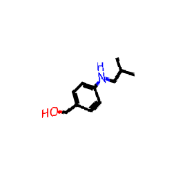 CC(C)CNc1ccc(CO)cc1